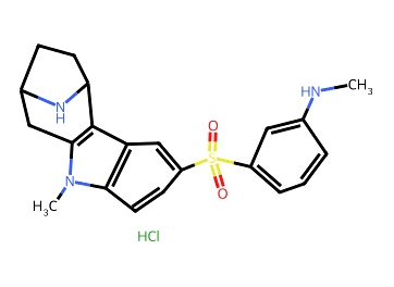 CNc1cccc(S(=O)(=O)c2ccc3c(c2)c2c(n3C)CC3CCC2N3)c1.Cl